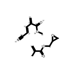 C=C(C)C(=O)OCC1CO1.C=C(C=CC#N)C(=O)OC